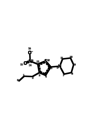 CCCc1cc(N2CCCCC2)sc1[N+](=O)[O-]